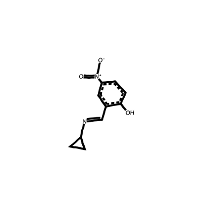 O=[N+]([O-])c1ccc(O)c(/C=N/C2CC2)c1